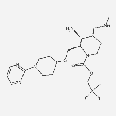 CNCC1CCN(C(=O)OCC(F)(F)F)[C@@H](COC2CCN(c3ncccn3)CC2)[C@H]1N